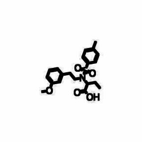 CCC(C(=O)O)N(CCc1cccc(OC)c1)S(=O)(=O)c1ccc(C)cc1